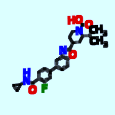 CC(C)C1CC(c2nc3cc(-c4ccc(C(=O)NC5CC5)c(F)c4)ccc3o2)CCN1C(=O)O